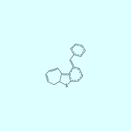 C1=CCC2Sc3cccc(=Cc4ccccc4)c3=C2C=C1